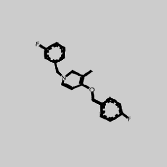 CC1=C(OCc2ccc(F)cc2)C=CN(Cc2cccc(F)c2)C1